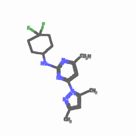 Cc1cc(C)n(-c2cc(C(=O)O)nc(NC3CCC(F)(F)CC3)n2)n1